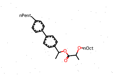 CCCCCCCCOC(C)C(=O)OC(C)c1ccc(-c2ccc(CCCCC)cc2)cc1